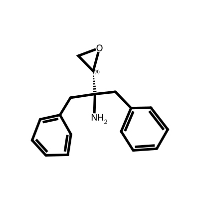 NC(Cc1ccccc1)(Cc1ccccc1)[C@@H]1CO1